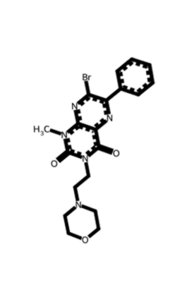 Cn1c(=O)n(CCN2CCOCC2)c(=O)c2nc(-c3ccccc3)c(Br)nc21